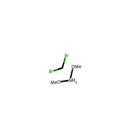 BrCBr.CO[SiH2]OC